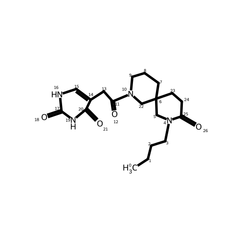 CCCCN1CC2(CCCN(C(=O)Cc3c[nH]c(=O)[nH]c3=O)C2)CCC1=O